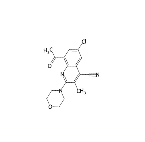 CC(=O)c1cc(Cl)cc2c(C#N)c(C)c(N3CCOCC3)nc12